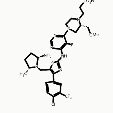 COC[C@@H]1CN(c2ncnc(Nc3nc(-c4ccc(Cl)c(C(F)(F)F)c4)c(CN4[C@H](C)CC[C@H]4N)s3)c2F)CCN1CCC(=O)O